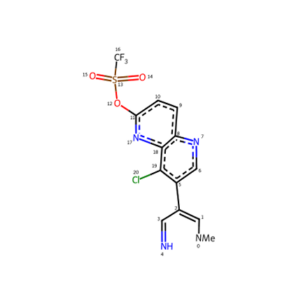 CN/C=C(\C=N)c1cnc2ccc(OS(=O)(=O)C(F)(F)F)nc2c1Cl